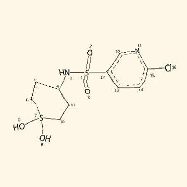 O=S(=O)(NC1CCS(O)(O)CC1)c1ccc(Cl)nc1